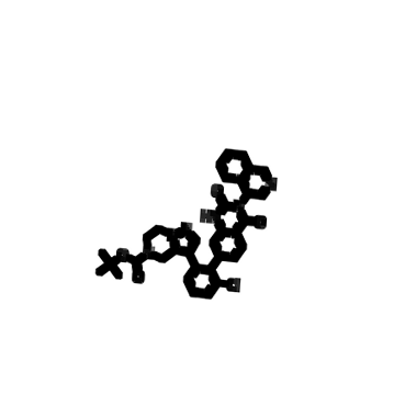 CC(C)(C)OC(=O)N1CCn2ncc(-c3cccc(Cl)c3-c3ccc4c(=O)n(-c5cncc6ccccc56)c(=O)[nH]c4c3)c2C1